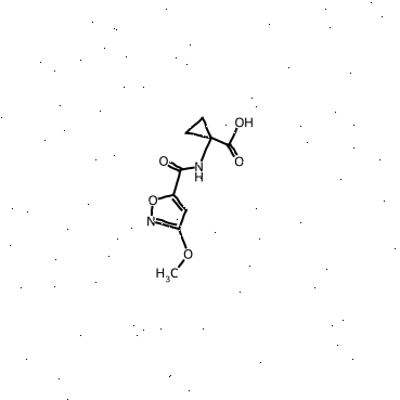 COc1cc(C(=O)NC2(C(=O)O)CC2)on1